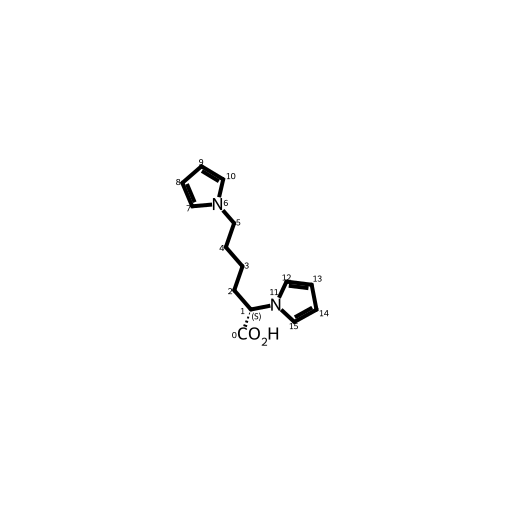 O=C(O)[C@H](CCCCn1cccc1)n1cccc1